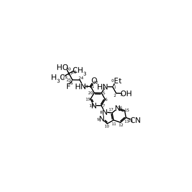 CC[C@@H](CO)Nc1cc(-n2ncc3cc(C#N)cnc32)ncc1C(=O)NC[C@@H](F)C(C)(C)O